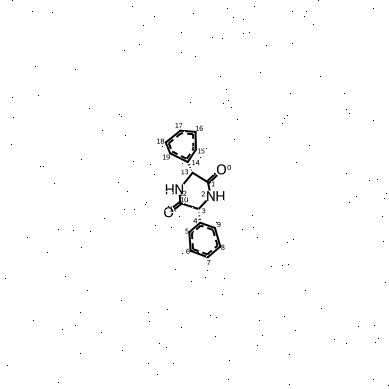 O=C1N[C@H](c2ccccc2)C(=O)N[C@@H]1c1ccccc1